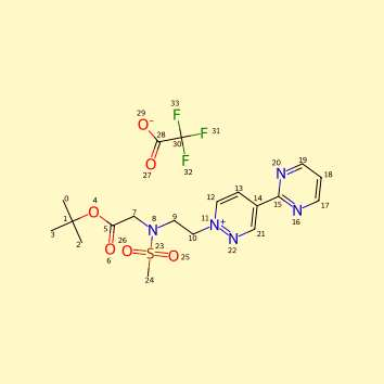 CC(C)(C)OC(=O)CN(CC[n+]1ccc(-c2ncccn2)cn1)S(C)(=O)=O.O=C([O-])C(F)(F)F